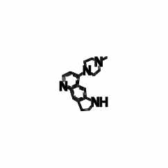 CN1CCN(c2ccnc3cc4c(cc23)NCC4)CC1